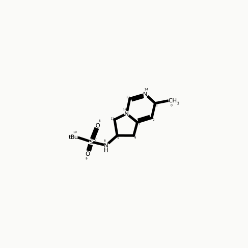 CC1C=C2CC(NS(=O)(=O)C(C)(C)C)CN2C=N1